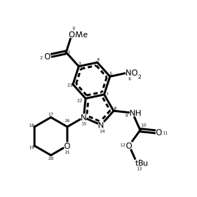 COC(=O)c1cc([N+](=O)[O-])c2c(NC(=O)OC(C)(C)C)nn(C3CCCCO3)c2c1